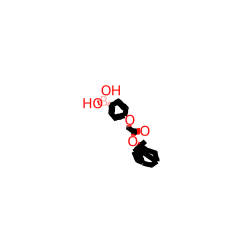 CC1(OC(=O)COc2ccc(B(O)O)cc2)C2CC3CC(C2)CC1C3